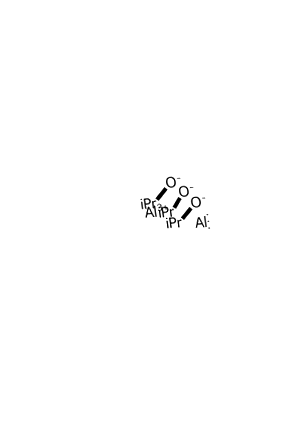 CC(C)[O-].CC(C)[O-].CC(C)[O-].[Al+3].[Al]